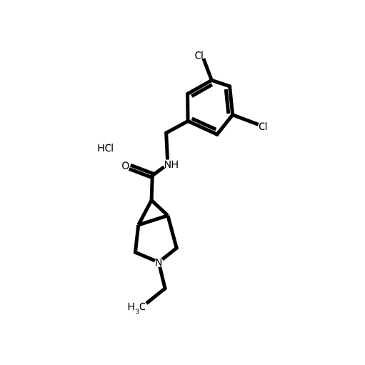 CCN1CC2C(C1)C2C(=O)NCc1cc(Cl)cc(Cl)c1.Cl